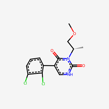 COC[C@H](C)n1c(=O)[nH]cc(-c2cccc(Cl)c2Cl)c1=O